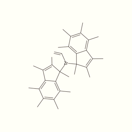 C=[CH][Zr]([C]1(C)C(C)=C(C)c2c(C)c(C)c(C)c(C)c21)[C]1(C)C(C)=C(C)c2c(C)c(C)c(C)c(C)c21